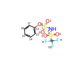 O=S(=O)(NS(=O)(=O)C(F)(F)F)Oc1ccccc1